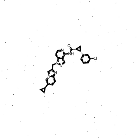 O=C(Nc1nccc2c1cnn2Cc1cn2cc(C3CC3)ccc2n1)[C@H]1C[C@@H]1c1cccc(Cl)c1